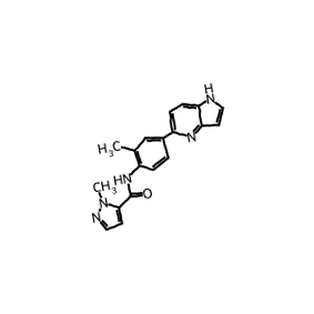 Cc1cc(-c2ccc3[nH]ccc3n2)ccc1NC(=O)c1ccnn1C